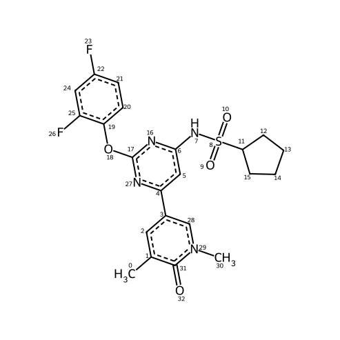 Cc1cc(-c2cc(NS(=O)(=O)C3CCCC3)nc(Oc3ccc(F)cc3F)n2)cn(C)c1=O